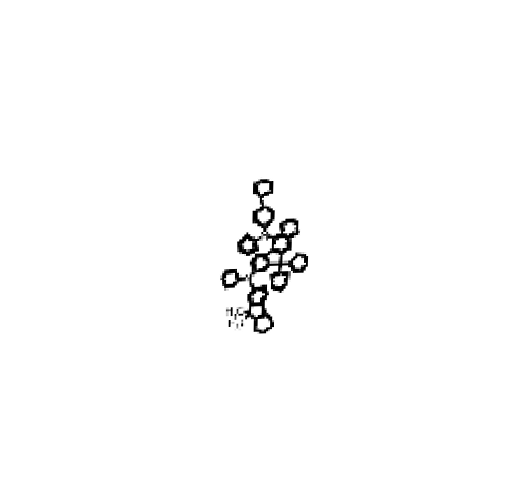 CC1(C)c2ccccc2-c2ccc(N(c3ccccc3)c3ccc4c(c3)C(c3ccccc3)(c3ccccc3)c3cc5ccccc5c(N(c5ccccc5)c5ccc(-c6ccccc6)cc5)c3-4)cc21